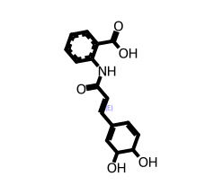 O=C(/C=C/C1=CC(O)C(O)C=C1)Nc1ccccc1C(=O)O